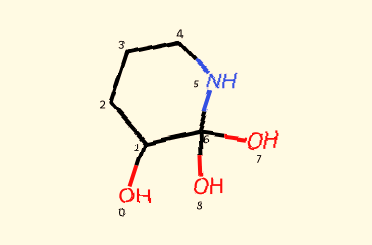 OC1CCCNC1(O)O